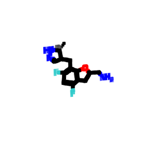 C[C@H]1NN=CC1Cc1c(F)cc(F)c2c1OC(CN)C2